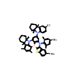 Cc1cc(C)c2c3c1B1c4sc5ccc(C(C)(C)C)cc5c4N(c4c(C)cc(C(C)(C)C)cc4C)c4cc(N5c6ccc(C#N)cc6C6(C)CCCCC56C)cc(c41)N3C1(C)CCCCC21C